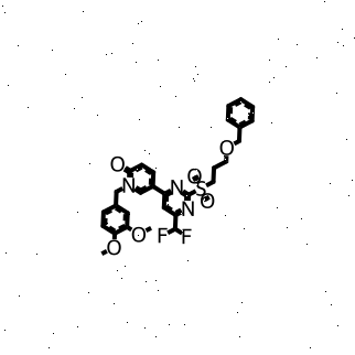 COc1ccc(Cn2cc(-c3cc(C(F)F)nc(S(=O)(=O)CCCOCc4ccccc4)n3)ccc2=O)cc1OC